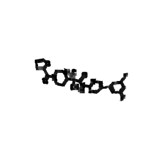 CC(C)(C(=O)Nc1ccc(-c2cc(F)cc(F)c2)cn1)C1CCN(C(=O)c2ccco2)CC1